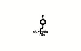 CCC[CH2][Sn]([CH]=Cc1ccc(F)cc1)([CH2]CCC)[CH2]CCC